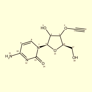 C#COC1C(O)[C@H](n2ccc(N)nc2=O)O[C@@H]1CO